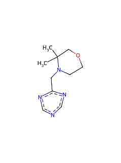 CC1(C)COCCN1Cc1ncncn1